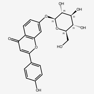 O=c1cc(-c2ccc(O)cc2)oc2cc(O[C@@H]3O[C@H](CO)[C@@H](O)[C@H](O)[C@H]3O)ccc12